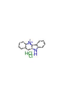 C[n+]1c2ccccc2cc2[nH]c3ccccc3c21.Cl.[Cl-]